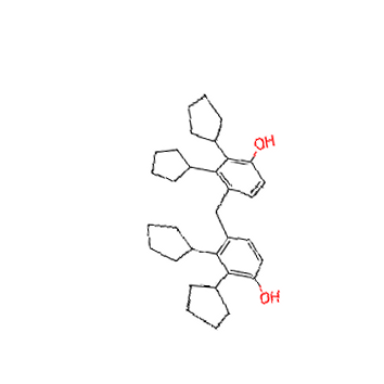 Oc1ccc(Cc2ccc(O)c(C3CCCC3)c2C2CCCC2)c(C2CCCC2)c1C1CCCC1